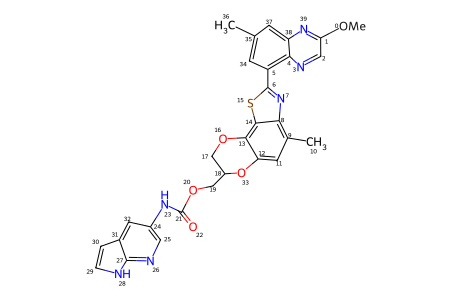 COc1cnc2c(-c3nc4c(C)cc5c(c4s3)OCC(COC(=O)Nc3cnc4[nH]ccc4c3)O5)cc(C)cc2n1